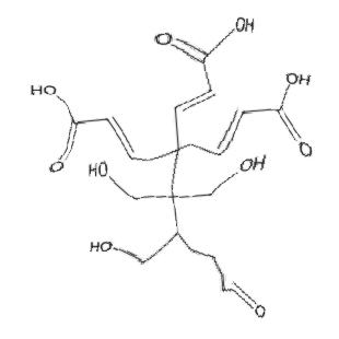 O=CCC(CO)C(CO)(CO)C(C=CC(=O)O)(C=CC(=O)O)C=CC(=O)O